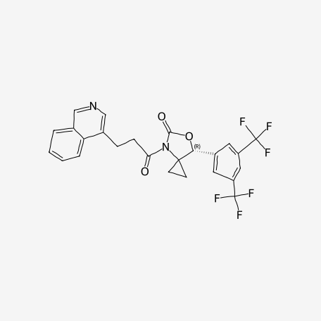 O=C(CCc1cncc2ccccc12)N1C(=O)O[C@H](c2cc(C(F)(F)F)cc(C(F)(F)F)c2)C12CC2